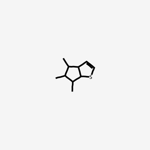 CC1C(C)C2C=CSC2C1C